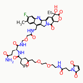 CC[C@@]1(O)C(=O)OCc2c1cc1n(c2=O)Cc2c-1nc1cc(F)c(C)cc1c2CNC(=O)COCNC(=O)[C@H](CCC(N)=O)NC(=O)[C@@H](CC(=O)CCOCCOCCNC(=O)CCN1C(=O)C=CC1=O)CC(C)C